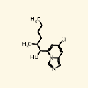 CCCCC(C)C(O)c1cc(Cl)cc2cncn12